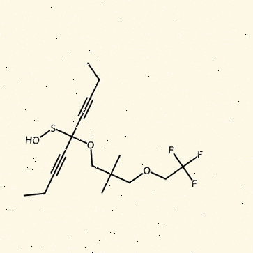 CCC#CC(C#CCC)(OCC(C)(C)COCC(F)(F)F)SO